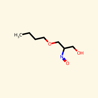 CCCCOCC(CO)N=O